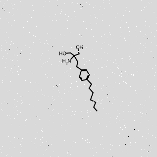 CCCCCCCc1ccc(CCC(N)(CO)CO)cc1